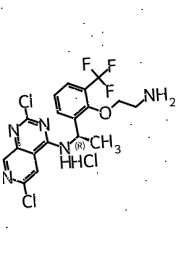 C[C@@H](Nc1nc(Cl)nc2cnc(Cl)cc12)c1cccc(C(F)(F)F)c1OCCN.Cl